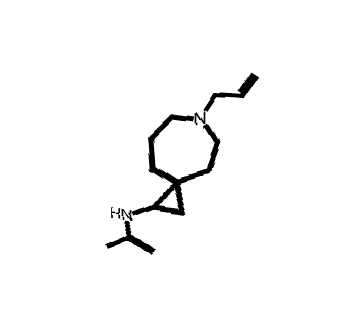 C=CCN1CCCC2(CC1)CC2NC(=C)C